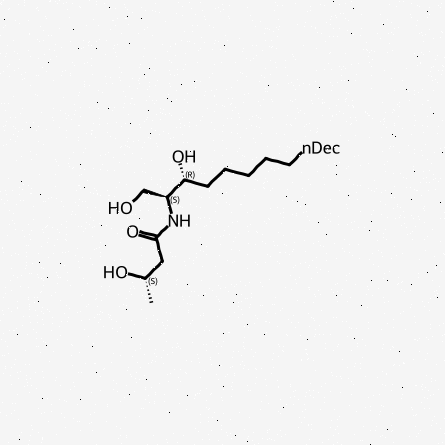 CCCCCCCCCCCCCCC[C@@H](O)[C@H](CO)NC(=O)C[C@H](C)O